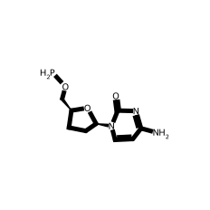 Nc1ccn([C@H]2CC[C@@H](COP)O2)c(=O)n1